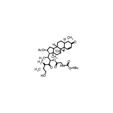 C=C(C(=O)[C@H](OC(=O)CNC(=O)OC(C)(C)C)[C@@H](C)[C@H]1[C@@H](OC(C)=O)C[C@@]2(C)[C@@H]3CC[C@H]4[C@H](C)C(=O)C=C[C@@]45C[C@@]35CC[C@]12C)[C@@H](C)CO